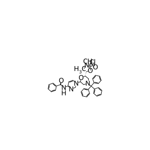 CN(C)P(=O)(Cl)OC[C@@H]1CN(C(c2ccccc2)(c2ccccc2)c2ccccc2)CC(N2C=CC(NC(=O)c3ccccc3)=NC2)O1